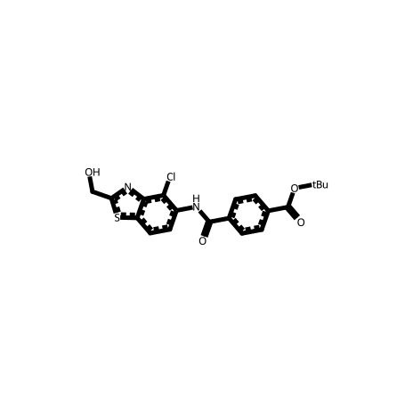 CC(C)(C)OC(=O)c1ccc(C(=O)Nc2ccc3sc(CO)nc3c2Cl)cc1